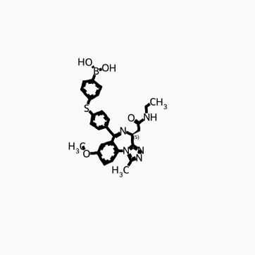 CCNC(=O)C[C@@H]1N=C(c2ccc(Sc3ccc(B(O)O)cc3)cc2)c2cc(OC)ccc2-n2c(C)nnc21